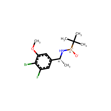 COc1cc([C@@H](C)N[S@+]([O-])C(C)(C)C)cc(F)c1Br